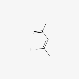 CC(=N)/C=C(/C)O